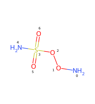 NOOS(N)(=O)=O